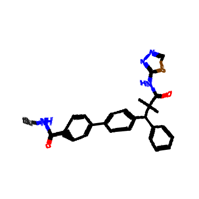 CC(C)(C)NC(=O)c1ccc(-c2ccc(C(c3ccccc3)C(C)(C)C(=O)Nc3nncs3)cc2)cc1